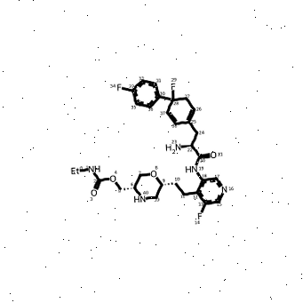 CCNC(=O)OC[C@@H]1CO[C@H](CCc2c(F)cncc2NC(=O)[C@@H](N)CC2=CCC(F)(c3ccc(F)cc3)C=C2)CN1